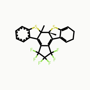 CC12Sc3ccccc3C1=C1C(=C3C4=CCCC=C4S[C@]32C)C(F)(F)C(F)(F)C1(F)F